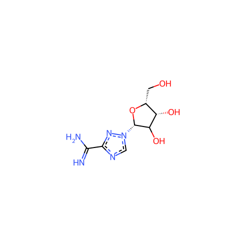 N=C(N)c1ncn([C@@H]2O[C@H](CO)[C@H](O)C2O)n1